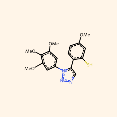 COc1ccc(-c2cnnn2-c2cc(OC)c(OC)c(OC)c2)c(S)c1